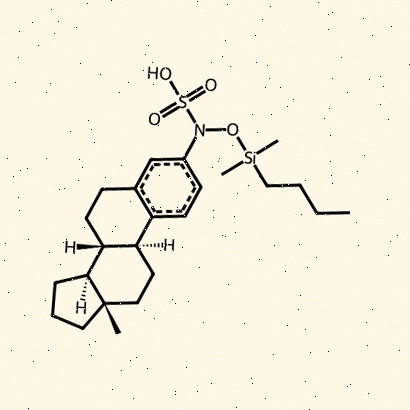 CCCC[Si](C)(C)ON(c1ccc2c(c1)CC[C@@H]1[C@@H]2CC[C@]2(C)CCC[C@@H]12)S(=O)(=O)O